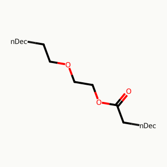 CCCCCCCCCCCCOCCOC(=O)CCCCCCCCCCC